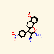 COc1cccc2c1CCC1=C2OC(N)=C(C#N)C1c1ccc([N+](=O)[O-])cc1